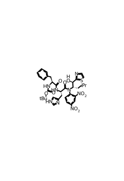 CC(C)C[C@@H]([C@@H](O)c1nccs1)N(C(=O)[C@H](Cc1c[nH]cn1)NC(=O)[C@H](Cc1ccccc1)NC(=O)OC(C)(C)C)c1ccc([N+](=O)[O-])cc1[N+](=O)[O-]